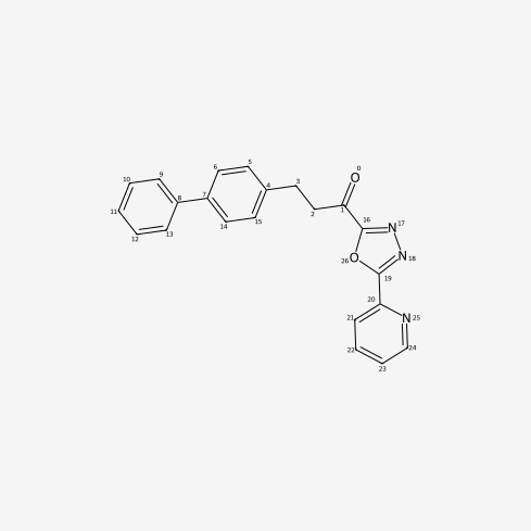 O=C(CCc1ccc(-c2ccccc2)cc1)c1nnc(-c2ccccn2)o1